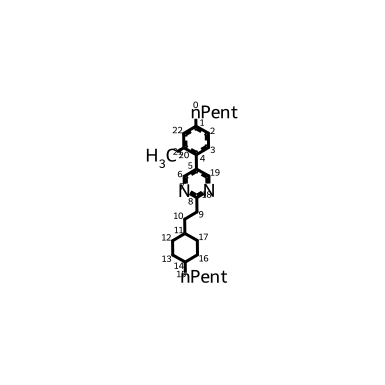 CCCCCc1ccc(-c2cnc(CCC3CCC(CCCCC)CC3)nc2)c(C)c1